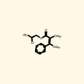 CCCCC(CC)COC(=O)C(OC)=C(OC)c1ccccc1